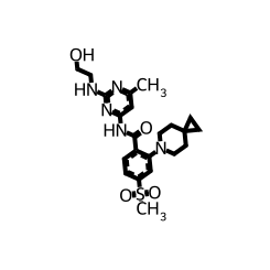 Cc1cc(NC(=O)c2ccc(S(C)(=O)=O)cc2N2CCC3(CC2)CC3)nc(NCCO)n1